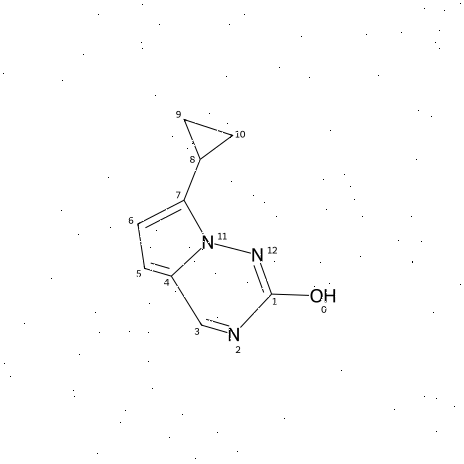 Oc1ncc2ccc(C3CC3)n2n1